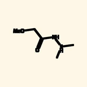 COCC(=O)N[SH](C)C